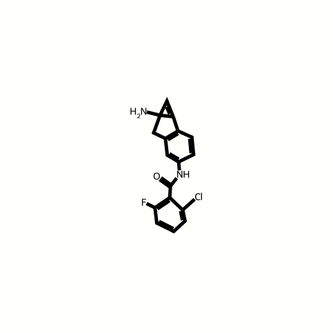 NC12C=C1c1ccc(NC(=O)c3c(F)cccc3Cl)cc1C2